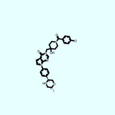 C[C@@H]1CN[C@@H](c2ccc(-n3ccc4c(=O)n(CC5(O)CCN(C(=O)c6ccc(Cl)cc6)CC5)cnc43)cc2)CO1